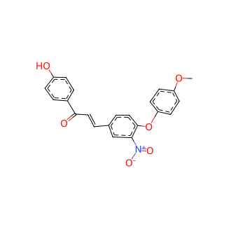 COc1ccc(Oc2ccc(C=CC(=O)c3ccc(O)cc3)cc2[N+](=O)[O-])cc1